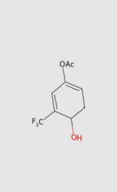 CC(=O)OC1=CCC(O)C(C(F)(F)F)=C1